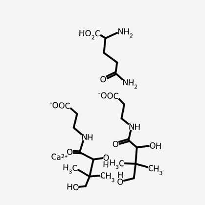 CC(C)(CO)C(O)C(=O)NCCC(=O)[O-].CC(C)(CO)C(O)C(=O)NCCC(=O)[O-].NC(=O)CCC(N)C(=O)O.[Ca+2]